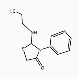 CCCNC1SCC(=O)N1c1ccccc1